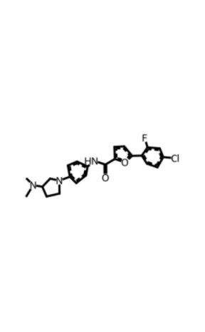 CN(C)C1CCN(c2ccc(NC(=O)c3ccc(-c4ccc(Cl)cc4F)o3)cc2)C1